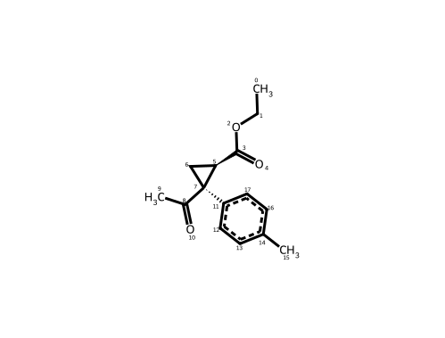 CCOC(=O)[C@@H]1C[C@@]1(C(C)=O)c1ccc(C)cc1